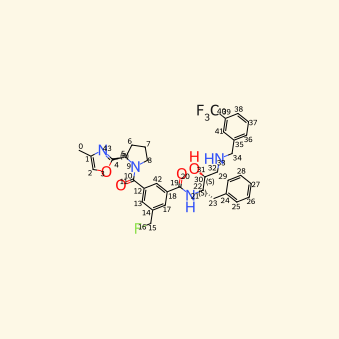 Cc1coc([C@H]2CCCN2C(=O)c2cc(CF)cc(C(=O)N[C@@H](Cc3ccccc3)[C@@H](O)CNCc3cccc(C(F)(F)F)c3)c2)n1